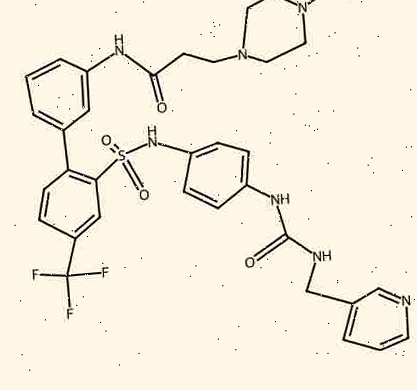 CN1CCN(CCC(=O)Nc2cccc(-c3ccc(C(F)(F)F)cc3S(=O)(=O)Nc3ccc(NC(=O)NCc4cccnc4)cc3)c2)CC1